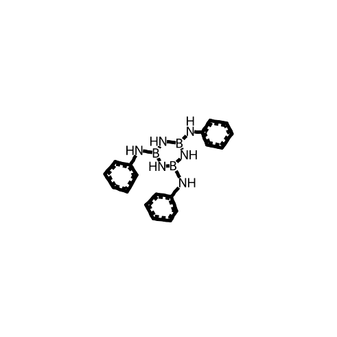 c1ccc(NB2NB(Nc3ccccc3)NB(Nc3ccccc3)N2)cc1